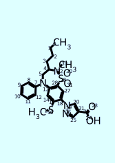 CCCCC1CN(c2ccccc2)c2cc(SC)c(-n3cc(C(=O)O)cn3)cc2S(=O)(=O)N1C